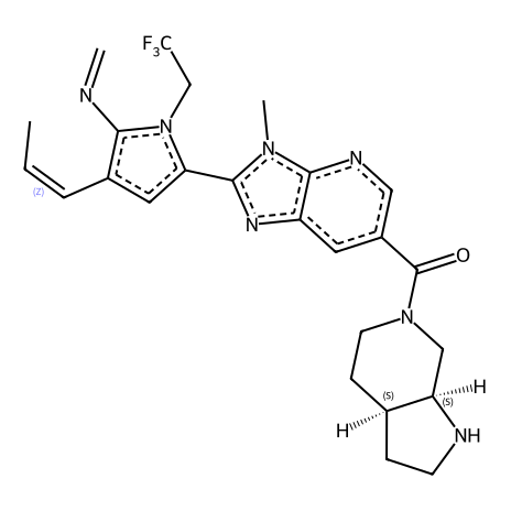 C=Nc1c(/C=C\C)cc(-c2nc3cc(C(=O)N4CC[C@@H]5CCN[C@@H]5C4)cnc3n2C)n1CC(F)(F)F